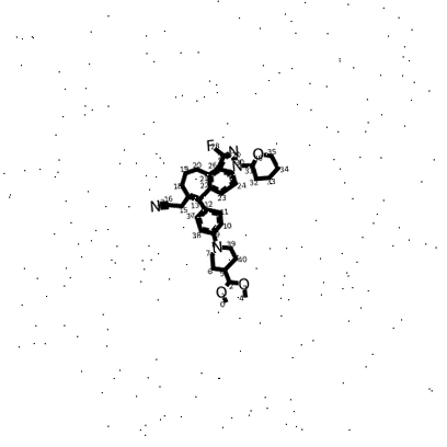 COC(OC)C1CCN(c2ccc(C3=C(CC#N)CCCc4c3ccc3c4c(F)nn3C3CCCCO3)cc2)CC1